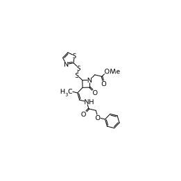 COC(=O)CN1C(=O)C(C(C)=CNC(=O)COc2ccccc2)C1SSc1nccs1